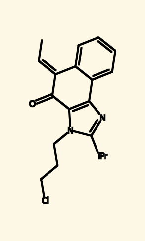 C/C=C1/C(=O)c2c(nc(C(C)C)n2CCCCl)-c2ccccc21